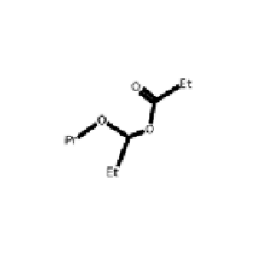 CCC(=O)OC(CC)OC(C)C